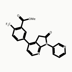 COC(=O)c1cc(-c2ccnc3c2CC(=O)N3c2cccnc2)ccc1C(F)(F)F